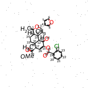 C=C1O[C@H](c2ccoc2)C[C@]2(C)[C@H]3C(=O)C(OC(=O)c4ccccc4Cl)=C[C@@H](C(=O)OC)[C@]3(C)CC[C@@H]12